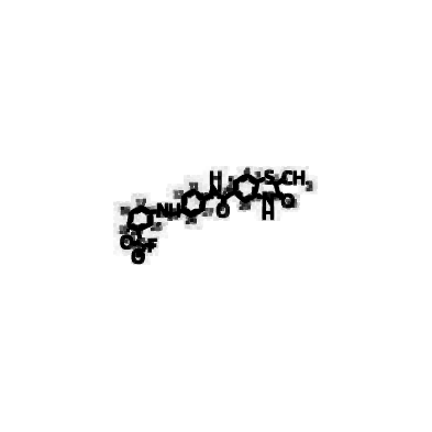 CC1Sc2ccc(C(=O)Nc3ccc(CNc4cccc(S(=O)(=O)F)c4)cc3)cc2NC1=O